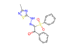 Cc1nsc(N/N=C(/C(=O)c2ccccc2)S(=O)(=O)c2ccccc2)n1